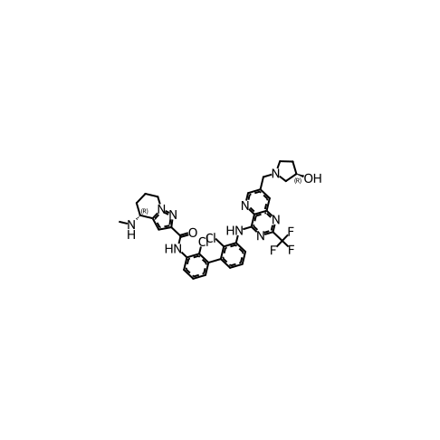 CN[C@@H]1CCCn2nc(C(=O)Nc3cccc(-c4cccc(Nc5nc(C(F)(F)F)nc6cc(CN7CC[C@@H](O)C7)cnc56)c4Cl)c3Cl)cc21